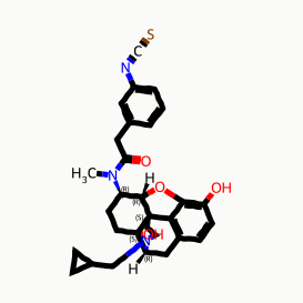 CN(C(=O)Cc1cccc(N=C=S)c1)[C@@H]1CC[C@@]2(O)[C@H]3Cc4ccc(O)c5c4[C@@]2(CCN3CC2CC2)[C@H]1O5